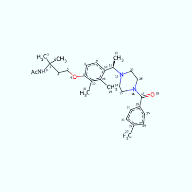 CC(=O)NC(C)(C)CCOc1ccc([C@@H](C)N2CCN(C(=O)c3ccc(C(F)(F)F)cc3)CC2)c(C)c1C